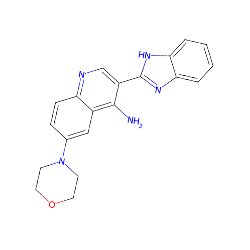 Nc1c(-c2nc3ccccc3[nH]2)cnc2ccc(N3CCOCC3)cc12